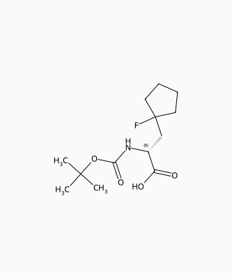 CC(C)(C)OC(=O)N[C@H](CC1(F)CCCC1)C(=O)O